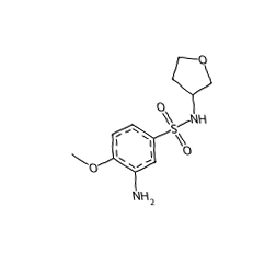 COc1ccc(S(=O)(=O)NC2CCOC2)cc1N